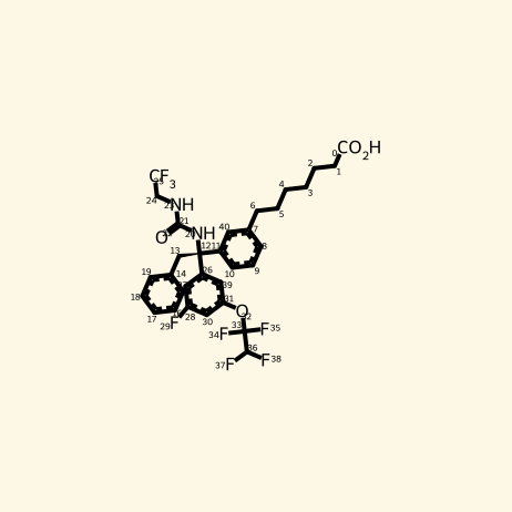 O=C(O)CCCCCCc1cccc([C@@](Cc2ccccc2)(NC(=O)NCC(F)(F)F)c2cc(F)cc(OC(F)(F)C(F)F)c2)c1